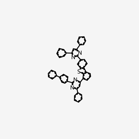 c1ccc(-c2ccc(-c3nc(-c4ccccc4)cc(-c4cccc5c4sc4cc(-c6nc(-c7ccccc7)cc(-c7ccccc7)n6)ccc45)n3)cc2)cc1